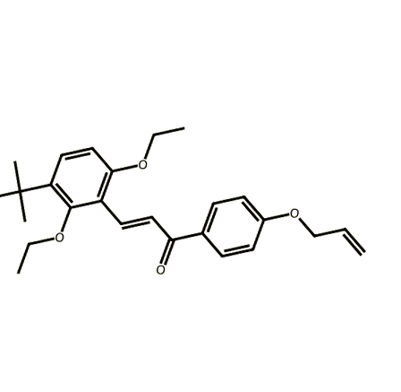 C=CCOc1ccc(C(=O)C=Cc2c(OCC)ccc(C(C)(C)C)c2OCC)cc1